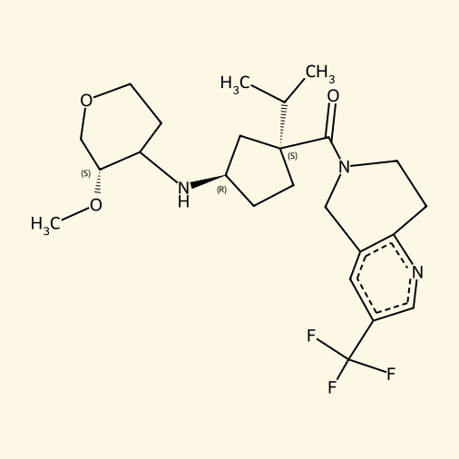 CO[C@@H]1COCCC1N[C@@H]1CC[C@@](C(=O)N2CCc3ncc(C(F)(F)F)cc3C2)(C(C)C)C1